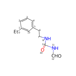 CCc1cccc(CCNC(=O)NC=O)c1